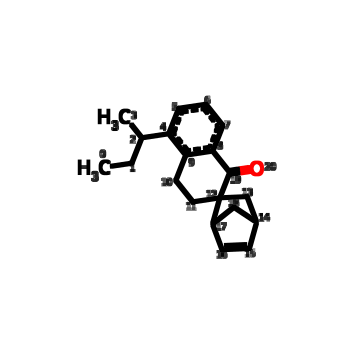 CCC(C)c1cccc2c1CCC1(CC3C=CC1C3)C2=O